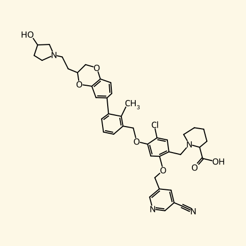 Cc1c(COc2cc(OCc3cncc(C#N)c3)c(CN3CCCCC3C(=O)O)cc2Cl)cccc1-c1ccc2c(c1)OC(CCN1CCC(O)C1)CO2